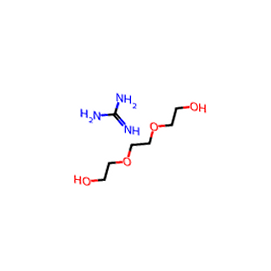 N=C(N)N.OCCOCCOCCO